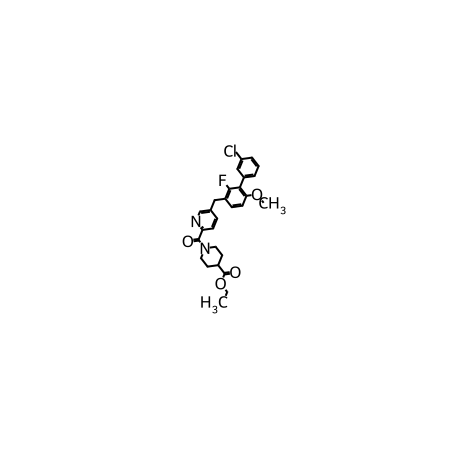 CCOC(=O)C1CCN(C(=O)c2ccc(Cc3ccc(OC)c(-c4cccc(Cl)c4)c3F)cn2)CC1